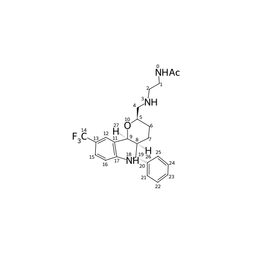 CC(=O)NCCNC[C@H]1CC[C@@H]2[C@H](O1)c1cc(C(F)(F)F)ccc1N[C@H]2c1ccccc1